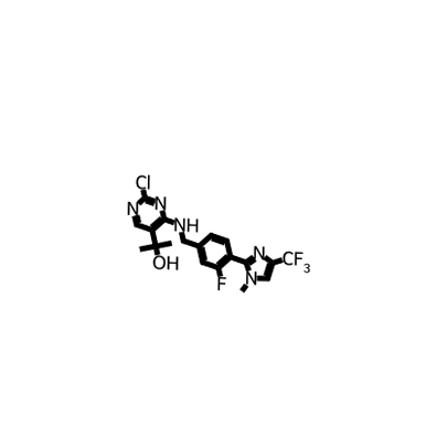 Cn1cc(C(F)(F)F)nc1-c1ccc(CNc2nc(Cl)ncc2C(C)(C)O)cc1F